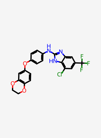 FC(F)(F)c1cc(Cl)c2[nH]c(Nc3ccc(Oc4ccc5c(c4)OCCO5)cc3)nc2c1